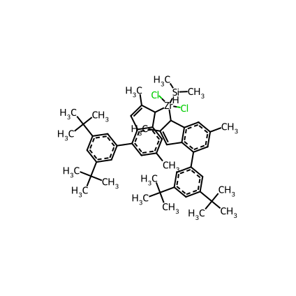 CC1=Cc2c(-c3cc(C(C)(C)C)cc(C(C)(C)C)c3)cc(C)cc2[CH]1[Zr]([Cl])([Cl])([CH]1C(C)=Cc2c(-c3cc(C(C)(C)C)cc(C(C)(C)C)c3)cc(C)cc21)[SiH](C)C